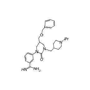 CC(C)N1CCC(CN2CC(COCc3ccccc3)CN(c3cccc(C(=N)N)c3)C2=O)CC1